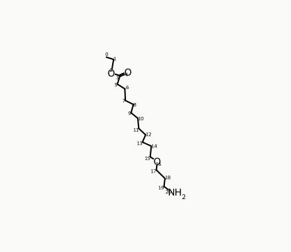 CCOC(=O)CCCCCCCCCCCOCCCN